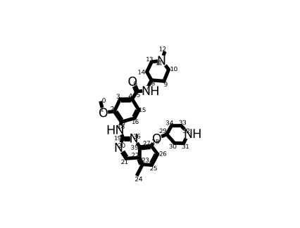 COc1cc(C(=O)NC2CCN(C)CC2)ccc1Nc1ncc2c(C)ccc(OC3CCNCC3)c2n1